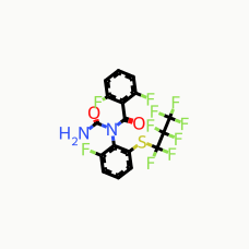 NC(=O)N(C(=O)c1c(F)cccc1F)c1c(F)cccc1SC(F)(F)C(F)(F)C(F)(F)F